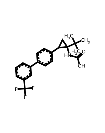 CC(C)(C)C1(NC(=O)O)CC1c1ccc(-c2cccc(C(F)(F)F)c2)cc1